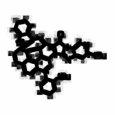 CC(C)(C)c1cc2nc3c4c5cc(-c6ccccc6C(C)(C)C)c6ccc7ccc8c(-c9ccccc9C(C)(C)C)cc(c4c(=O)n3c2cn1)c1c8c7c6c51